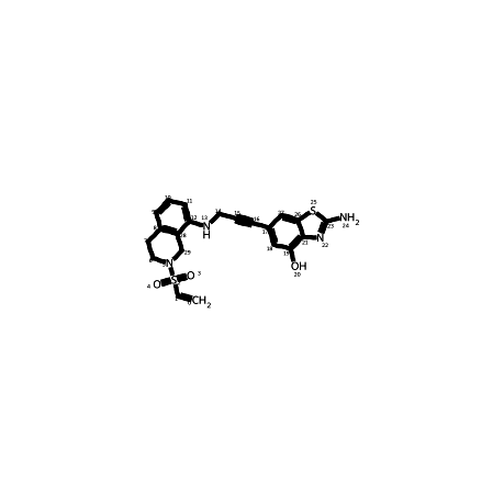 C=CS(=O)(=O)N1CCc2cccc(NCC#Cc3cc(O)c4nc(N)sc4c3)c2C1